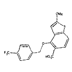 COc1cc2c(OCc3ccc(C(F)(F)F)cc3)c(C(=O)O)ccc2s1